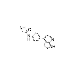 NCC(=O)Nc1ccc(-c2ccnc3[nH]ccc23)cc1